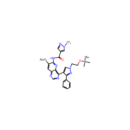 COc1cc2ncnc(-c3cn(CCO[Si](C)(C)C(C)(C)C)nc3-c3ccccc3)c2nc1NC(=O)c1cnn(C(F)(F)F)c1